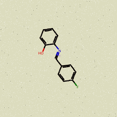 Oc1ccccc1/N=C/c1ccc(F)cc1